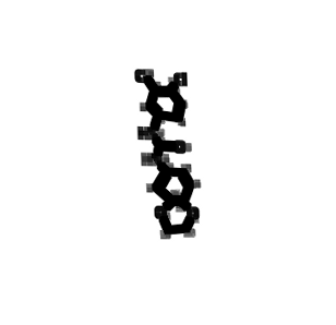 O=C(Nc1ccc(Cl)c(Cl)c1)Nc1ccc2c(c1)OCCO2